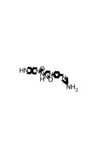 NC1C2CN(Cc3ccc(-n4ccc(NC(=O)N5CCC6(CCNCC6)CC5)nc4=O)cc3)CC12